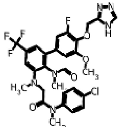 COc1cc(-c2cc(C(F)(F)F)cc(N(C)CC(=O)N(C)c3ccc(Cl)cc3)c2N(C)C=O)cc(F)c1OCc1nnc[nH]1